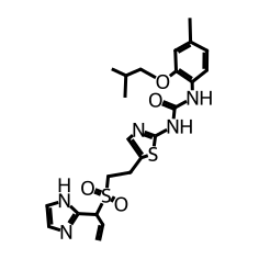 C=CC(c1ncc[nH]1)S(=O)(=O)CCc1cnc(NC(=O)Nc2ccc(C)cc2OCC(C)C)s1